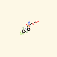 O=S(=O)(Cc1ccccc1Nc1c(Cl)cc(C(F)(F)F)cc1Cl)NCCOCCO